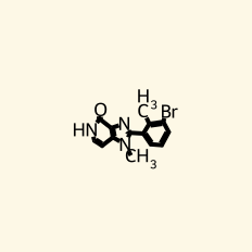 Cc1c(Br)cccc1-c1nc2c(=O)[nH]ccc2n1C